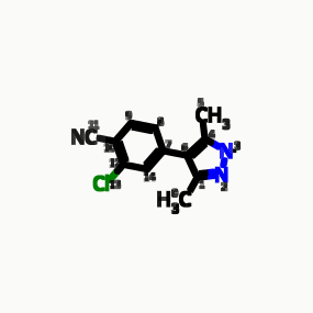 CC1=N[N]C(C)=C1c1ccc(C#N)c(Cl)c1